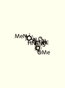 CNc1ccc(-c2nc(C(=O)Nc3nccs3)c(-c3ccc(OC)cc3)[nH]2)cc1